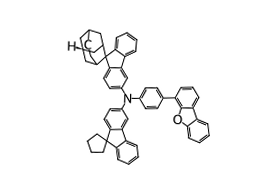 c1ccc2c(c1)-c1cc(N(c3ccc(-c4cccc5c4oc4ccccc45)cc3)c3ccc4c(c3)-c3ccccc3C43C4CCC5CC3C[C@@H](C5)C4)ccc1C21CCCC1